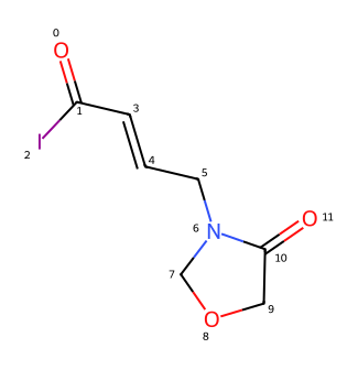 O=C(I)/C=C/CN1COCC1=O